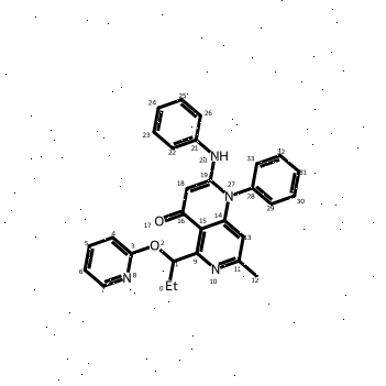 CCC(Oc1ccccn1)c1nc(C)cc2c1c(=O)cc(Nc1ccccc1)n2-c1ccccc1